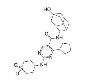 O=C(NC1C2CC3CC1CC(O)(C3)C2)c1cnc(NC2CCS(=O)(=O)CC2)nc1C1CCCC1